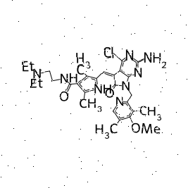 CCN(CC)CCNC(=O)c1c(C)[nH]c(/C=C2\C(=O)N(Cc3ncc(C)c(OC)c3C)c3nc(N)nc(Cl)c32)c1C